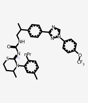 CCCc1ccc(C)cc1N1/C(=N/C(=O)NCC(C)c2ccc(-c3ncn(-c4ccc(OC(F)(F)F)cc4)n3)cc2)SCCC1C